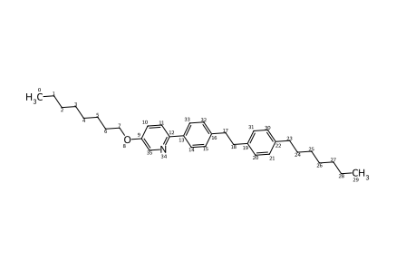 CCCCCCCCOc1ccc(-c2ccc(CCc3ccc(CCCCCCC)cc3)cc2)nc1